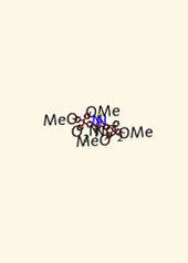 COc1ccc(C(=C(c2ccccc2)c2ccc(-c3c([N+](=O)[O-])c([N+](=O)[O-])c(-c4ccc(C(=C(c5ccc(OC)cc5)c5ccc(OC)cc5)c5ccccc5)cc4)c4nsnc34)cc2)c2ccc(OC)cc2)cc1